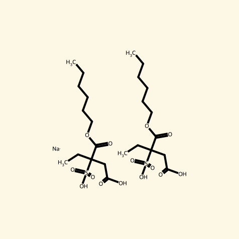 CCCCCCOC(=O)C(CC)(CC(=O)O)S(=O)(=O)O.CCCCCCOC(=O)C(CC)(CC(=O)O)S(=O)(=O)O.[Na]